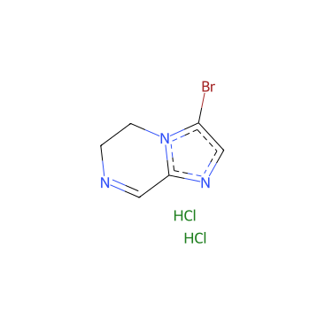 Brc1cnc2n1CCN=C2.Cl.Cl